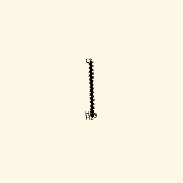 S=C(S)NCCCCCCCCCCCCCCCCCCCCCCCCCCCCl